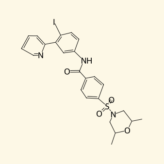 CC1CN(S(=O)(=O)c2ccc(C(=O)Nc3ccc(I)c(-c4ccccn4)c3)cc2)CC(C)O1